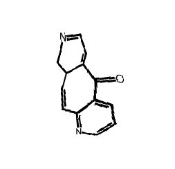 O=C1C2=CC=NCC2C=Cc2ncccc21